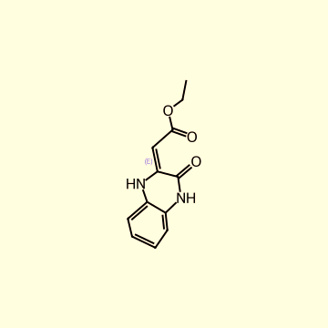 CCOC(=O)/C=C1/Nc2ccccc2NC1=O